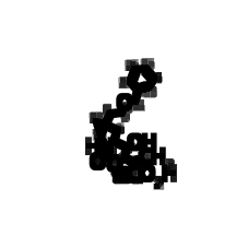 C=C(CC(O)C(CC1(CCOCc2ccccc2)CC1)NC(=O)OC(C)(C)C)C(=O)O